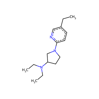 CCc1ccc(N2CCC(N(CC)CC)C2)nc1